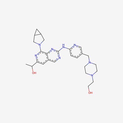 CC(O)c1cc2cnc(Nc3ccc(CN4CCN(CCO)CC4)cn3)nc2c(N2CC3CC3C2)n1